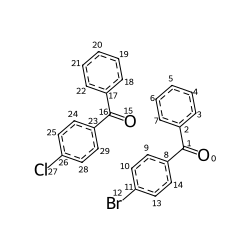 O=C(c1ccccc1)c1ccc(Br)cc1.O=C(c1ccccc1)c1ccc(Cl)cc1